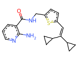 Nc1ncccc1C(=O)NCc1ccc(C=C(C2CC2)C2CC2)s1